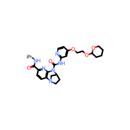 CC(C)NC(=O)c1ccc2c(n1)N(C(=O)Nc1cc(OCCOC3CCCCO3)ccn1)C1CCN2C1